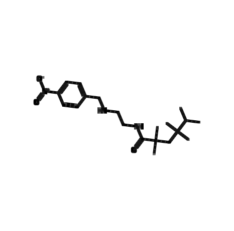 CC(C)C(C)(C)CC(C)(C)C(=O)NCCNCc1ccc([N+](=O)[O-])cc1